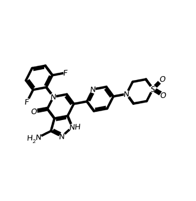 Nc1n[nH]c2c(-c3ccc(N4CCS(=O)(=O)CC4)cn3)cn(-c3c(F)cccc3F)c(=O)c12